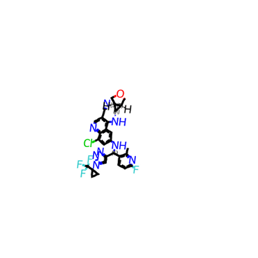 Cc1nc(F)ccc1[C@H](Nc1cc(Cl)c2ncc(C#N)c(N[C@H]3[C@@H]4COC[C@@H]43)c2c1)c1cn(C2(C(F)(F)F)CC2)nn1